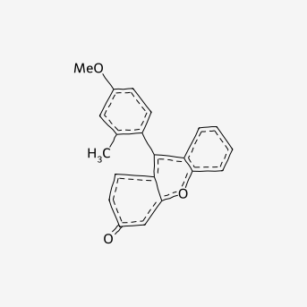 COc1ccc(-c2c3ccc(=O)cc-3oc3ccccc23)c(C)c1